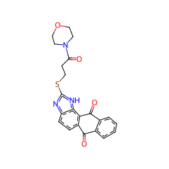 O=C1c2ccccc2C(=O)c2c1ccc1nc(SCCC(=O)N3CCOCC3)[nH]c21